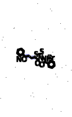 O=Nc1ccccc1/C=C/C=C1\SC(=S)N(NC(=O)c2ccccc2Br)C1=O